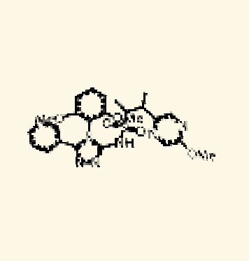 COc1cnc(C(C)C(C)S(=O)(=O)Nc2nnc(-c3cccnc3)n2-c2c(OC)cccc2OC)cn1